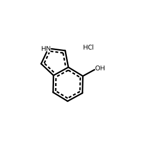 Cl.Oc1cccc2c[nH]cc12